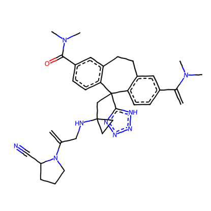 C=C(c1ccc2c(c1)CCc1cc(C(=O)N(C)C)ccc1C2(CC1(NCC(=C)N2CCCC2C#N)CC1)c1nnn[nH]1)N(C)C